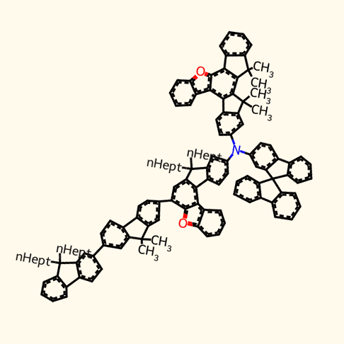 CCCCCCCC1(CCCCCCC)c2ccccc2-c2ccc(-c3ccc4c(c3)C(C)(C)c3cc(-c5cc6c(c7c5oc5ccccc57)-c5ccc(N(c7ccc8c(c7)C(C)(C)c7c9c(c%10oc%11ccccc%11c%10c7-8)-c7ccccc7C9(C)C)c7ccc8c(c7)C7(c9ccccc9-c9ccccc97)c7ccccc7-8)cc5C6(CCCCCCC)CCCCCCC)ccc3-4)cc21